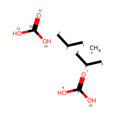 C.CCC.CCC.O=C(O)O.O=C(O)O